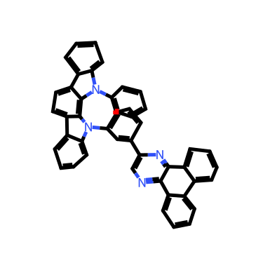 c1ccc(-n2c3ccccc3c3ccc4c5ccccc5n(-c5cccc(-c6cnc7c8ccccc8c8ccccc8c7n6)c5)c4c32)cc1